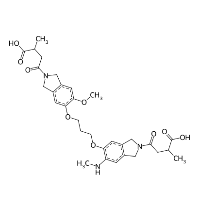 CNc1cc2c(cc1OCCCOc1cc3c(cc1OC)CN(C(=O)CC(C)C(=O)O)C3)CN(C(=O)CC(C)C(=O)O)C2